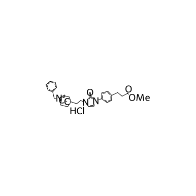 COC(=O)CCc1ccc(-n2ccn(CCC34CC[N+](Cc5ccccc5)(CC3)CC4)c2=O)cc1.Cl